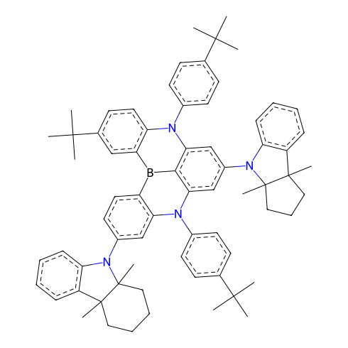 CC(C)(C)c1ccc(N2c3ccc(C(C)(C)C)cc3B3c4ccc(N5c6ccccc6C6(C)CCCCC56C)cc4N(c4ccc(C(C)(C)C)cc4)c4cc(N5c6ccccc6C6(C)CCCC56C)cc2c43)cc1